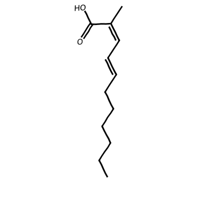 CCCCCCC=CC=C(C)C(=O)O